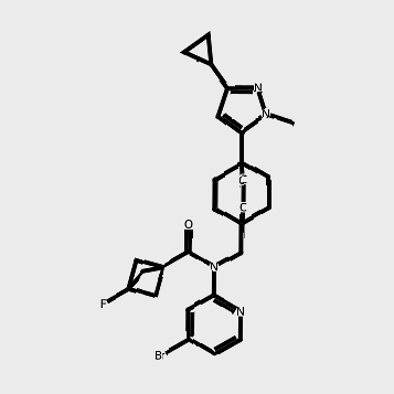 Cn1nc(C2CC2)cc1C12CCC(CN(C(=O)C34CC(F)(C3)C4)c3cc(Br)ccn3)(CC1)CC2